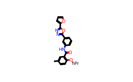 CCCOc1ccc(C)cc1C(=O)Nc1cccc(-c2nnc(-c3ccco3)o2)c1